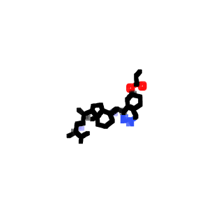 CCC(=O)O[C@H]1CCC2=C(C1)[C@H](/C=C1\CCCC3(C)C1CCC3[C@H](C)/C=C/[C@H](C)C(C)C)N=NC2